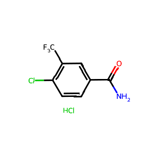 Cl.NC(=O)c1ccc(Cl)c(C(F)(F)F)c1